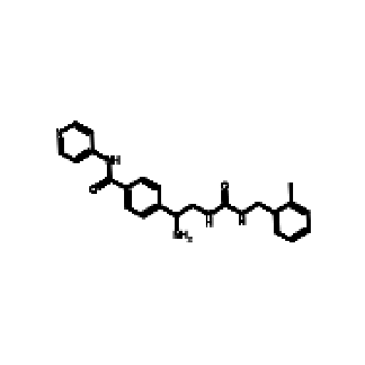 Cc1ccccc1CNC(=O)NCC(N)c1ccc(C(=O)Nc2ccncc2)cc1